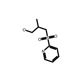 CC(C[O])CS(=O)(=O)c1ccccn1